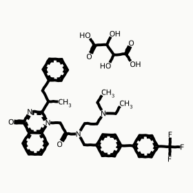 CCN(CC)CCN(Cc1ccc(-c2ccc(C(F)(F)F)cc2)cc1)C(=O)Cn1c(C(C)Cc2ccccc2)nc(=O)c2ccccc21.O=C(O)C(O)C(O)C(=O)O